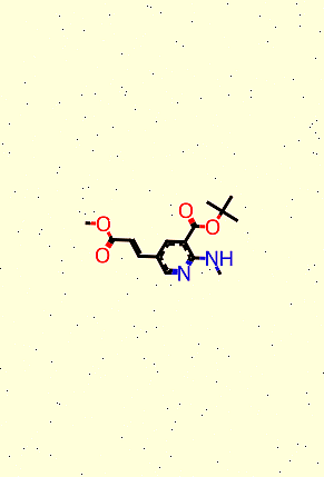 CNc1ncc(/C=C/C(=O)OC)cc1C(=O)OC(C)(C)C